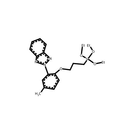 CCO[Si](CCCOc1ccc(C)cc1-n1nc2ccccc2n1)(OCC)OCC